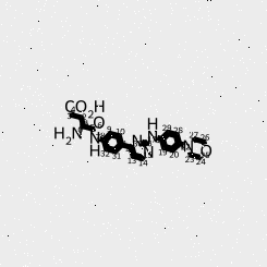 N[C@@H](CCC(=O)O)C(=O)Nc1ccc(-c2ccnc(Nc3ccc(N4CCOCC4)cc3)n2)cc1